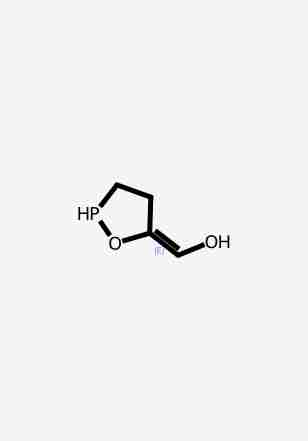 O/C=C1\CCPO1